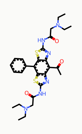 CCN(CC)CC(=O)Nc1nc2c(C(C)=O)c3nc(NC(=O)CN(CC)CC)sc3c(-c3ccccc3)c2s1